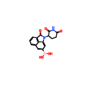 O=C1CCC(N2C(=O)c3cccc4cc(B(O)O)cc2c34)C(=O)N1